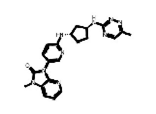 Cc1cnc(N[C@H]2CC[C@H](Nc3ccc(-n4c(=O)n(C)c5cccnc54)cn3)C2)nn1